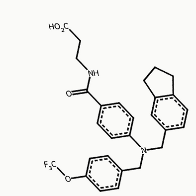 O=C(O)CCNC(=O)c1ccc(N(Cc2ccc(OC(F)(F)F)cc2)Cc2ccc3c(c2)CCC3)cc1